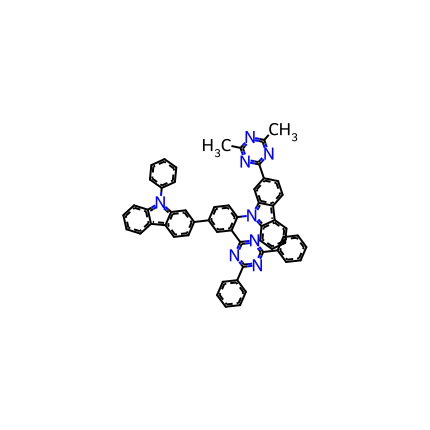 Cc1nc(C)nc(-c2ccc3c4ccccc4n(-c4ccc(-c5ccc6c7ccccc7n(-c7ccccc7)c6c5)cc4-c4nc(-c5ccccc5)nc(-c5ccccc5)n4)c3c2)n1